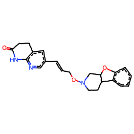 O=C1CCc2cc(/C=C/CON3CCC4c5ccccc5OC4C3)cnc2N1